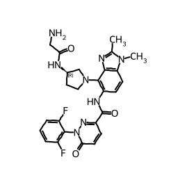 Cc1nc2c(N3CC[C@@H](NC(=O)CN)C3)c(NC(=O)c3ccc(=O)n(-c4c(F)cccc4F)n3)ccc2n1C